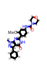 COc1cc(NC(=O)N2CCOCC2)ccc1-c1nc2c(c(-c3ccccc3)nn2C)c(=O)[nH]1